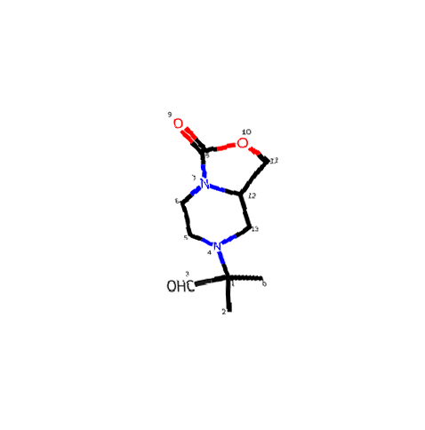 CC(C)(C=O)N1CCN2C(=O)OCC2C1